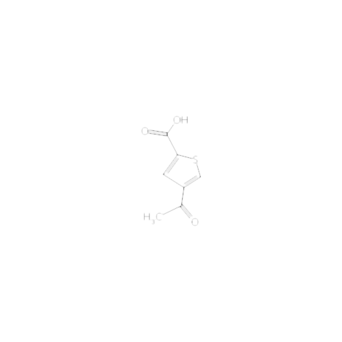 CC(=O)c1csc(C(=O)O)c1